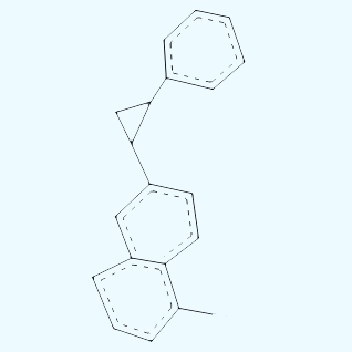 CCOC(=O)c1cccc2cc(C3CC3c3ccccc3)ccc12